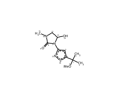 COC(C)(C)c1cc(N2C(=O)N(C)CC2O)ns1